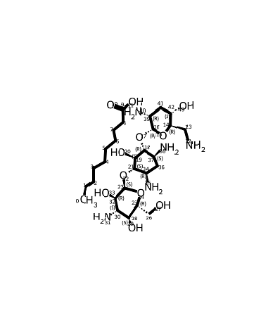 CCCCCCCCCC(=O)O.NC[C@H]1O[C@H](O[C@H]2[C@H](O)[C@@H](O[C@H]3O[C@H](CO)[C@@H](O)[C@H](N)[C@H]3O)[C@H](N)C[C@@H]2N)[C@H](N)C[C@@H]1O